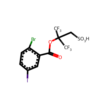 O=C(OC(CS(=O)(=O)O)(C(F)(F)F)C(F)(F)F)c1cc(I)ccc1Br